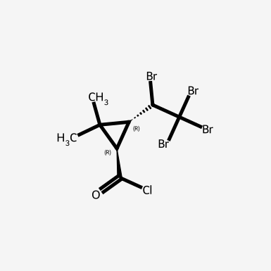 CC1(C)[C@H](C(=O)Cl)[C@H]1C(Br)C(Br)(Br)Br